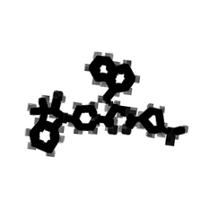 CN[C@@H]1CC[C@H](C(=O)N[C@@H](Cc2cccc3ccccc23)C(=O)N2CCC(N3C(=O)C(C)(C)c4ccccc43)CC2)C1